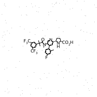 Cc1cc(F)ccc1-c1cc([C@H]2CC[C@@H](C(=O)O)N2)ncc1N(C)C(=O)C(C)(C)c1cc(C(F)(F)F)cc(C(F)(F)F)c1